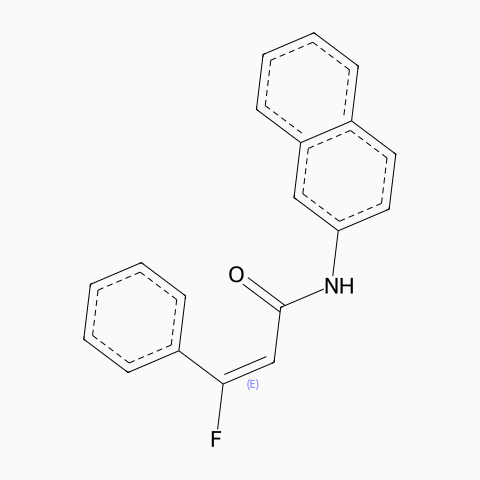 O=C(/C=C(/F)c1ccccc1)Nc1ccc2ccccc2c1